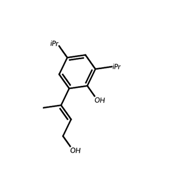 CC(=CCO)c1cc(C(C)C)cc(C(C)C)c1O